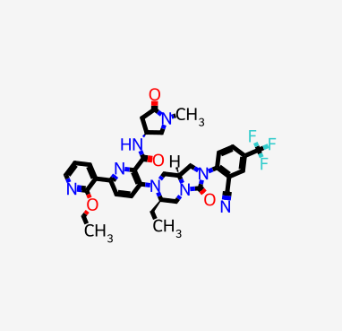 CCOc1ncccc1-c1ccc(N2C[C@H]3CN(c4ccc(C(F)(F)F)cc4C#N)C(=O)N3C[C@H]2CC)c(C(=O)N[C@@H]2CC(=O)N(C)C2)n1